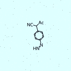 CC(=O)C(C#N)c1ccc(N=N)cc1